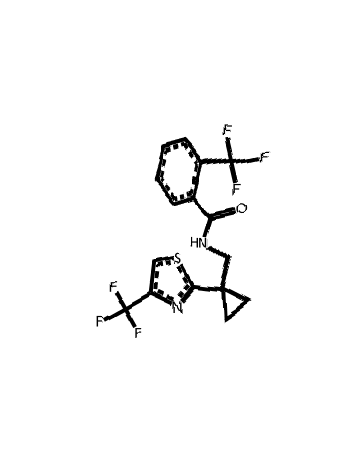 O=C(NCC1(c2nc(C(F)(F)F)cs2)CC1)c1ccccc1C(F)(F)F